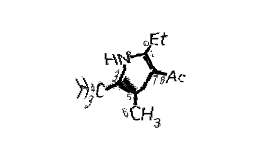 CCc1[nH]c(C)c(C)c1C(C)=O